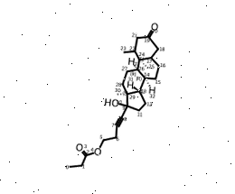 CCC(=O)OCCC#CC1(O)CC[C@H]2[C@@H]3CCC4CC(=O)CC(C)[C@]4(C)[C@@H]3CC[C@@]21C